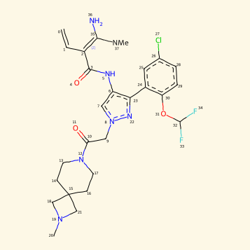 C=C/C(C(=O)Nc1cn(CC(=O)N2CCC3(CC2)CN(C)C3)nc1-c1cc(Cl)ccc1OC(F)F)=C(\N)NC